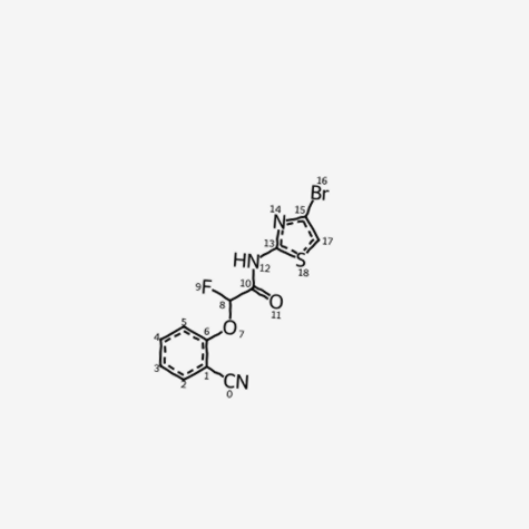 N#Cc1ccccc1OC(F)C(=O)Nc1nc(Br)cs1